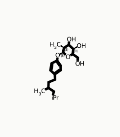 CC(C)CC(C)CCc1ccc(O[C@@H]2OC(CO)[C@H](O)C(O)[C@@H]2C)cc1